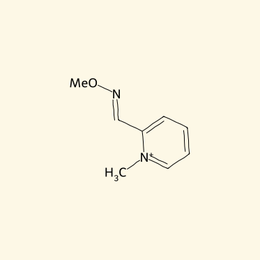 CO/N=C/c1cccc[n+]1C